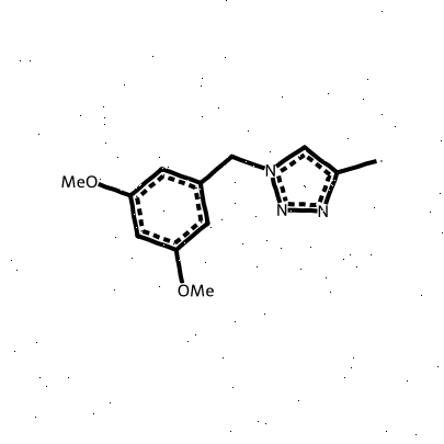 [CH2]c1cn(Cc2cc(OC)cc(OC)c2)nn1